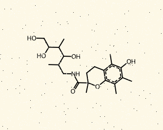 Cc1c(C)c2c(c(C)c1O)CCC(C)(C(=O)NCC(C)C(O)C(C)C(O)CO)O2